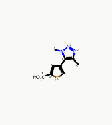 Cc1nnn(C)c1-c1csc(C(=O)O)c1